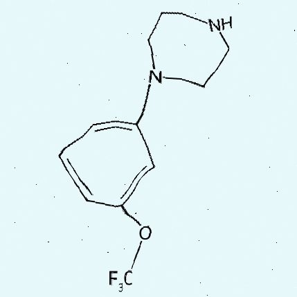 FC(F)(F)Oc1cccc(N2CCNCC2)c1